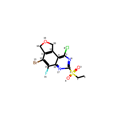 CCS(=O)(=O)c1nc(Cl)c2c3c(c(Br)c(F)c2n1)COC3